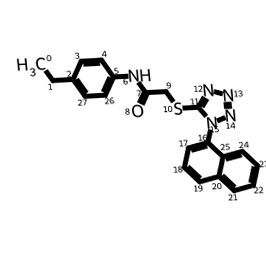 CCc1ccc(NC(=O)CSc2nnnn2-c2cccc3ccccc23)cc1